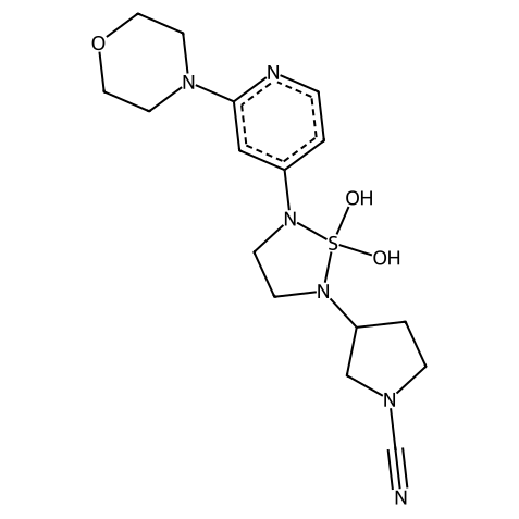 N#CN1CCC(N2CCN(c3ccnc(N4CCOCC4)c3)S2(O)O)C1